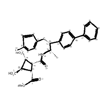 COC(=O)[C@@H]1[C@@H](C(=O)O)[C@H](C(=O)O)[C@@H]1C(=O)N[C@@H](C)[C@H](Cc1ccc(Cl)cc1)c1ccc(-c2ccccc2)cc1